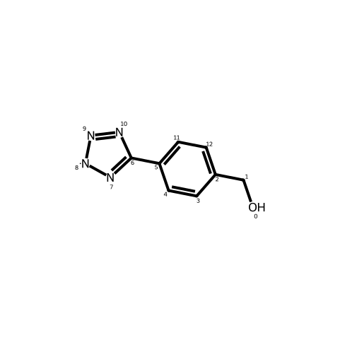 OCc1ccc(C2=N[N]N=N2)cc1